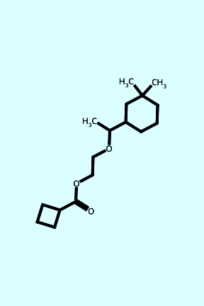 CC(OCCOC(=O)C1CCC1)C1CCCC(C)(C)C1